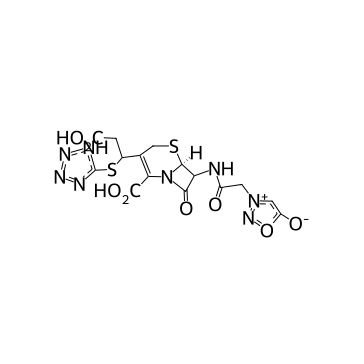 O=C(O)CC(Sc1nnn[nH]1)C1=C(C(=O)O)N2C(=O)C(NC(=O)C[n+]3cc([O-])on3)[C@@H]2SC1